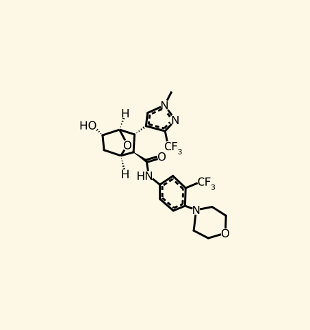 Cn1cc([C@H]2[C@H]3O[C@H](C[C@@H]3O)[C@@H]2C(=O)Nc2ccc(N3CCOCC3)c(C(F)(F)F)c2)c(C(F)(F)F)n1